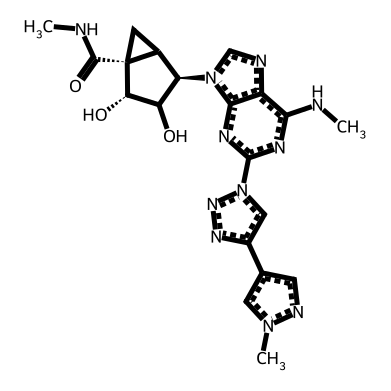 CNC(=O)[C@]12CC1[C@@H](n1cnc3c(NC)nc(-n4cc(-c5cnn(C)c5)nn4)nc31)C(O)[C@@H]2O